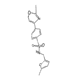 Cc1ccc(CNS(=O)(=O)c2ccc(-c3coc(C)n3)cc2)o1